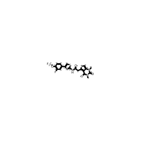 Cn1c(=O)c2c(CC(=O)Nc3nc(-c4ccc(OC(F)(F)F)c(F)c4)cs3)scc2n(C)c1=O